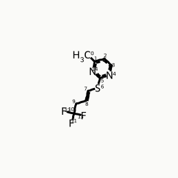 Cc1ccnc(SC=CCC(F)(F)F)n1